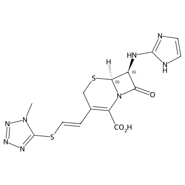 Cn1nnnc1SC=CC1=C(C(=O)O)N2C(=O)[C@H](Nc3ncc[nH]3)[C@@H]2SC1